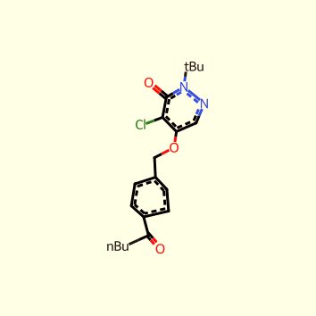 CCCCC(=O)c1ccc(COc2cnn(C(C)(C)C)c(=O)c2Cl)cc1